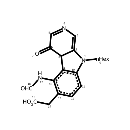 CCCCCCN1C2=CN=CC(=O)C2c2c1ccc(CC(=O)O)c2NC=O